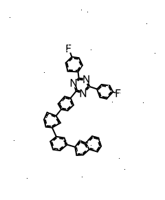 Fc1ccc(-c2nc(-c3ccc(F)cc3)nc(-c3ccc(-c4cccc(-c5cccc(-c6ccc7ccccc7c6)c5)c4)cc3)n2)cc1